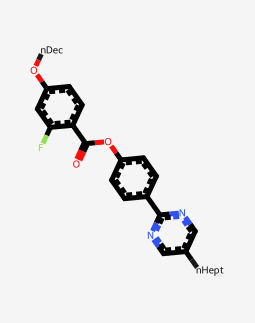 CCCCCCCCCCOc1ccc(C(=O)Oc2ccc(-c3ncc(CCCCCCC)cn3)cc2)c(F)c1